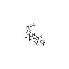 COc1cc(CN(C)C(=O)OC(C)(C)C)ccc1Nc1cc2c(cn1)c(C(C)(C)C)c(-c1cnn(C)c1)n2C(=O)O